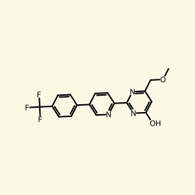 COCc1cc(O)nc(-c2ccc(-c3ccc(C(F)(F)F)cc3)cn2)n1